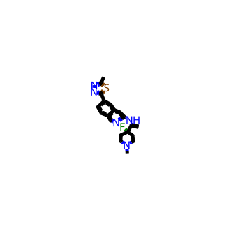 C=C(Nc1cc2cc(-c3nnc(C)s3)ccc2cn1)C1(F)CCN(C)CC1